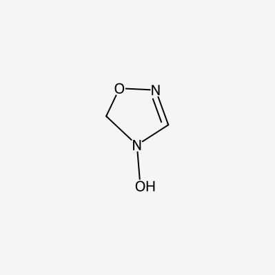 ON1C=NOC1